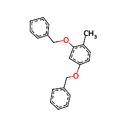 Cc1ccc(OCc2ccccc2)cc1OCc1ccccc1